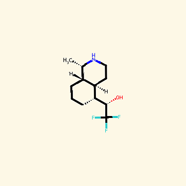 C[C@@H]1NCC[C@H]2[C@H]([C@H](O)C(F)(F)F)CCC[C@@H]21